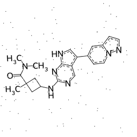 CN(C)C(=O)C1(C)CC(Nc2ncc3c(-c4ccn5nccc5c4)c[nH]c3n2)C1